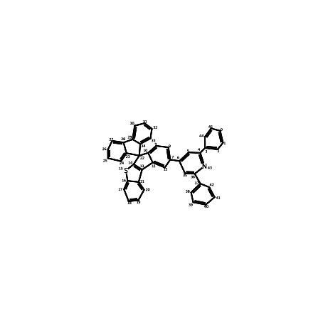 c1ccc(-c2cc(-c3ccc4c(c3)-c3c(sc5ccccc35)C43c4ccccc4-c4ccccc43)cc(-c3ccccc3)n2)cc1